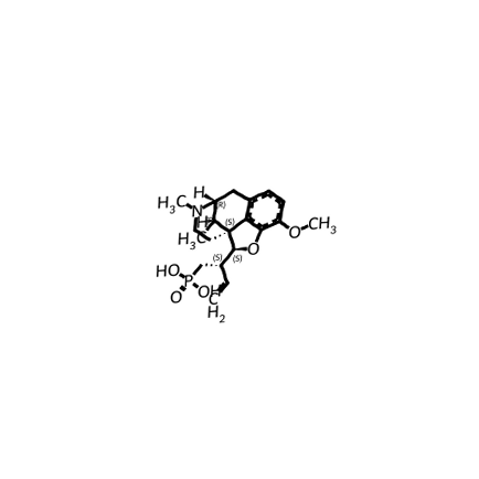 C=C[C@H](CP(=O)(O)O)[C@@H]1Oc2c(OC)ccc3c2[C@@]12CCN(C)[C@H](C3)[C@@H]2C